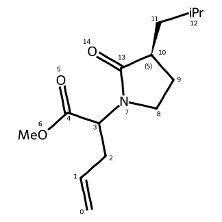 C=CCC(C(=O)OC)N1CC[C@H](CC(C)C)C1=O